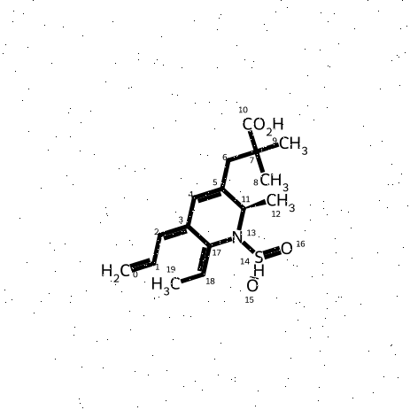 C=C/C=C1/C=C(CC(C)(C)C(=O)O)[C@@H](C)N([SH](=O)=O)/C1=C/C